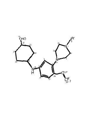 CC(C)N1CCN(c2cc(NC3CCC(C=O)CC3)ccc2OC(F)(F)F)CC1